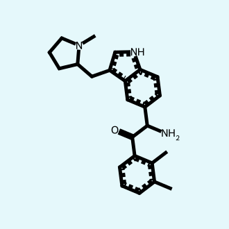 Cc1cccc(C(=O)C(N)c2ccc3[nH]cc(CC4CCCN4C)c3c2)c1C